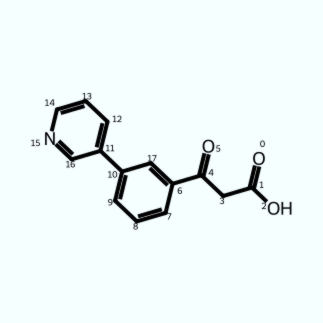 O=C(O)CC(=O)c1cccc(-c2cccnc2)c1